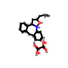 CNCC1CC2c3ccccc3Cc3ccccc3N2O1.O=C(O)C(=O)O